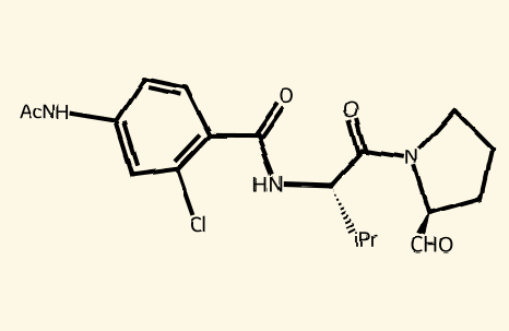 CC(=O)Nc1ccc(C(=O)N[C@H](C(=O)N2CCC[C@H]2C=O)C(C)C)c(Cl)c1